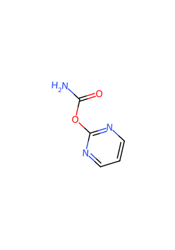 NC(=O)Oc1ncccn1